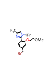 COCCOc1cc(CBr)ccc1-c1nc(C(F)(F)F)cn1C(C)C